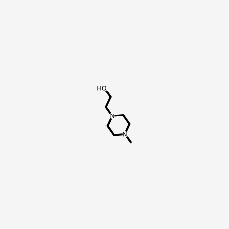 CN1C[CH]N(CCO)CC1